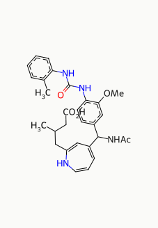 COc1cc(C(NC(C)=O)C2=CC=CNC(CC(C)CC(=O)O)=C2)ccc1NC(=O)Nc1ccccc1C